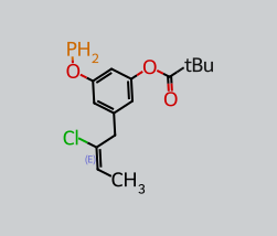 C/C=C(/Cl)Cc1cc(OP)cc(OC(=O)C(C)(C)C)c1